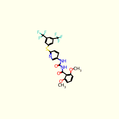 COc1cccc(OC)c1C(=O)NC(=O)Nc1ccc(Sc2cc(C(F)(F)F)cc(C(F)(F)F)c2)nc1